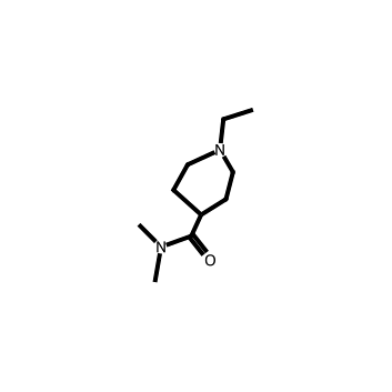 CCN1CCC(C(=O)N(C)C)CC1